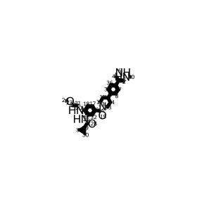 CN/C=C(\C=N)c1ccc(C2CCN(C(=O)c3ccc(NCCOC)c(NC(=O)C4CC4)c3)CC2)cc1